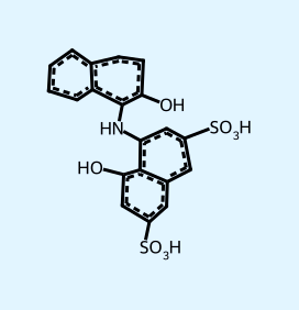 O=S(=O)(O)c1cc(O)c2c(Nc3c(O)ccc4ccccc34)cc(S(=O)(=O)O)cc2c1